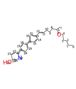 CCCCCOC(C)CCC/C=C/c1ccc(-c2ccc(-c3ccc(O)cn3)cc2)cc1